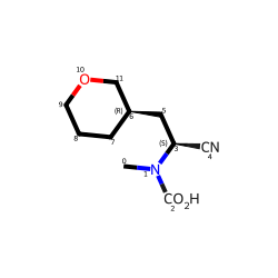 CN(C(=O)O)[C@H](C#N)C[C@H]1CCCOC1